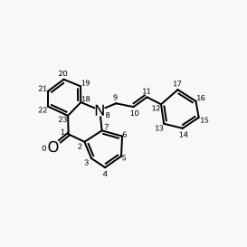 O=c1c2ccccc2n(CC=Cc2ccccc2)c2ccccc12